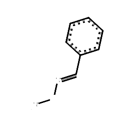 NON=Cc1ccccc1